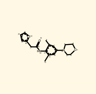 Cc1cc(N2CCOCC2)cc(C)c1NC(=O)Cc1cccs1